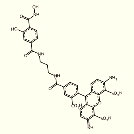 N=c1ccc2c(-c3ccc(C(=O)NCCCNC(=O)c4ccc(C(=O)NO)c(O)c4)cc3C(=O)O)c3ccc(N)c(S(=O)(=O)O)c3oc-2c1S(=O)(=O)O